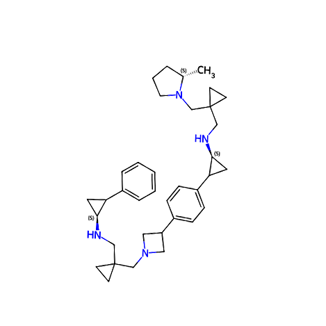 C[C@H]1CCCN1CC1(CN[C@H]2CC2c2ccc(C3CN(CC4(CN[C@H]5CC5c5ccccc5)CC4)C3)cc2)CC1